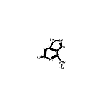 CCNc1nc(Cl)cc2[nH]ncc12